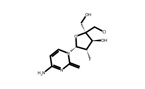 C=C1N=C(N)C=CN1[C@@H]1O[C@@](CO)(CCl)[C@@H](O)[C@@H]1F